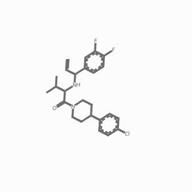 C=CC(NC(C(=O)N1CCC(c2ccc(Cl)cc2)CC1)C(C)C)c1ccc(F)c(F)c1